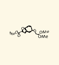 COC(=O)c1cc2cc(OCC(OC)OC)ccc2o1